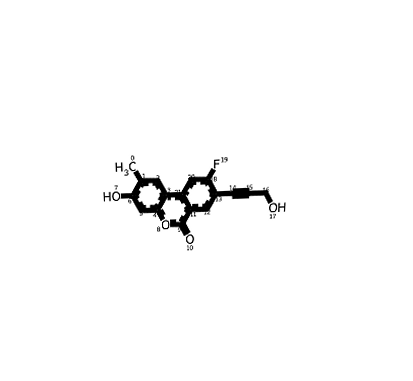 Cc1cc2c(cc1O)oc(=O)c1cc(C#CCO)c(F)cc12